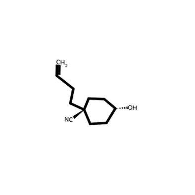 C=CCC[C@]1(C#N)CC[C@H](O)CC1